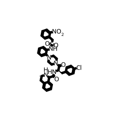 O=C(N[C@H](Cc1ccc(Cl)cc1)C(=O)N1CCN(c2ccccc2NS(=O)(=O)Cc2ccccc2[N+](=O)[O-])CC1)C1N[CH]Cc2ccccc21